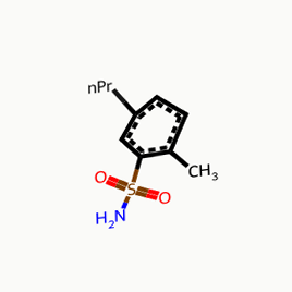 CCCc1ccc(C)c(S(N)(=O)=O)c1